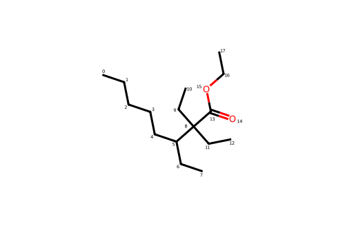 CCCCCC(CC)C(CC)(CC)C(=O)OCC